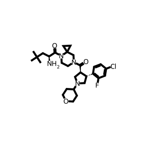 CC(C)(C)C[C@H](N)C(=O)N1CCN(C(=O)[C@@H]2CN(C3CCOCC3)C[C@H]2c2ccc(Cl)cc2F)CC12CC2